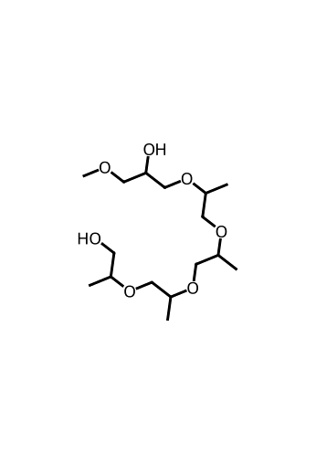 COCC(O)COC(C)COC(C)COC(C)COC(C)CO